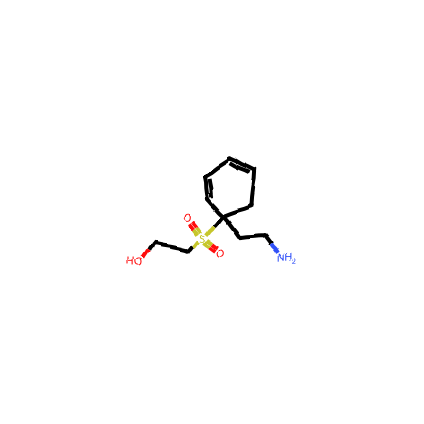 NCCC1(S(=O)(=O)CCO)C=CC=CC1